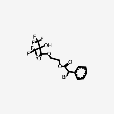 O=C(OCCOC(=O)C(O)(C(F)(F)F)C(F)(F)F)C(Br)c1ccccc1